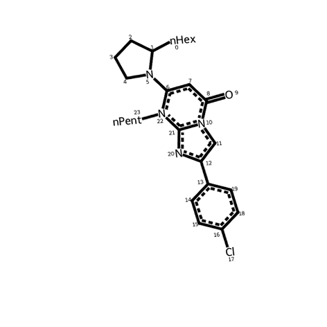 CCCCCCC1CCCN1c1cc(=O)n2cc(-c3ccc(Cl)cc3)nc2n1CCCCC